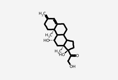 C=C1C=C2CCC3C([C@@H](O)C[C@@]4(C)C3CC[C@]4(O)C(=O)CO)[C@@]2(C)CC1